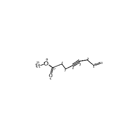 C=CCC#CCCC(=O)OCC